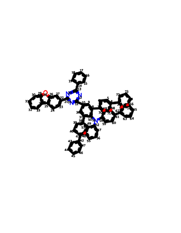 c1ccc(-c2ccc(-c3cc(-c4nc(-c5ccccc5)nc(-c5ccc6c(c5)oc5ccccc56)n4)cc(-c4ccc(-c5ccccc5)cc4)c3N(c3ccccc3)c3ccc(-c4ccccc4)cc3)cc2)cc1